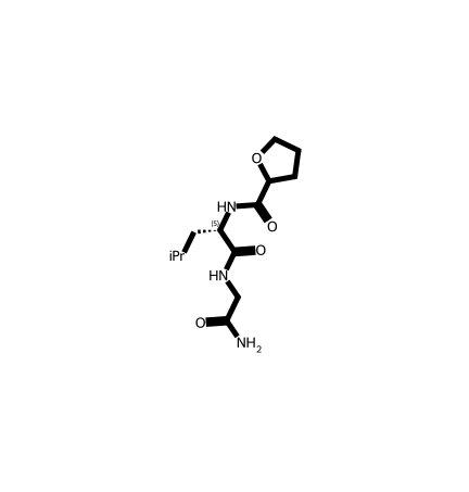 CC(C)C[C@H](NC(=O)C1CCCO1)C(=O)NCC(N)=O